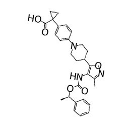 Cc1noc(C2CCN(c3ccc(C4(C(=O)O)CC4)cc3)CC2)c1NC(=O)O[C@H](C)c1ccccc1